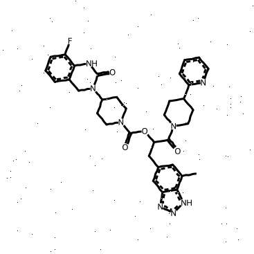 Cc1cc(CC(OC(=O)N2CCC(N3Cc4cccc(F)c4NC3=O)CC2)C(=O)N2CCC(c3ccccn3)CC2)cc2nn[nH]c12